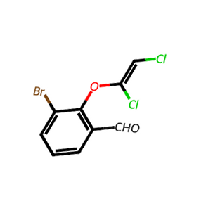 O=Cc1cccc(Br)c1OC(Cl)=CCl